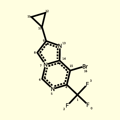 FC(F)(F)c1ncn2cc(C3CC3)nc2c1Br